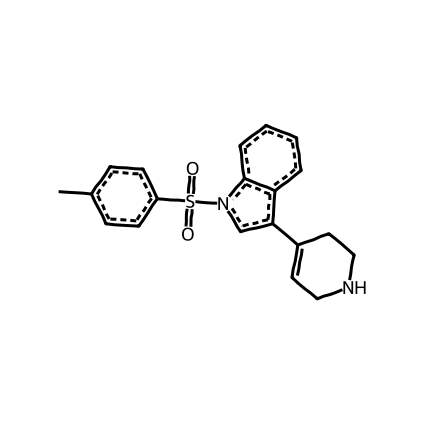 Cc1ccc(S(=O)(=O)n2cc(C3=CCNCC3)c3ccccc32)cc1